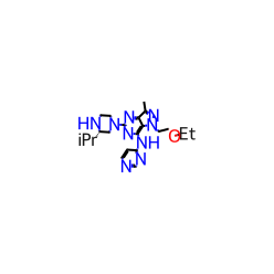 CCOCCn1nc(C)c2nc(N3CCN[C@@H](C(C)C)C3)nc(Nc3ccncn3)c21